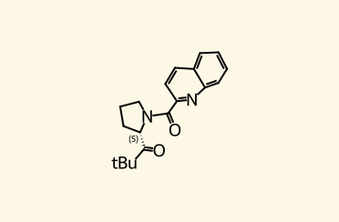 CC(C)(C)C(=O)[C@@H]1CCCN1C(=O)c1ccc2ccccc2n1